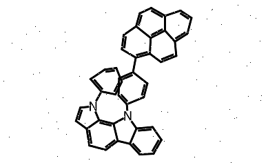 c1ccc(-n2ccc3ccc4c5ccccc5n(-c5ccc(-c6ccc7ccc8cccc9ccc6c7c89)cc5)c4c32)cc1